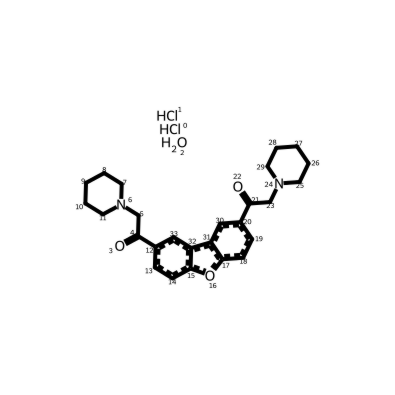 Cl.Cl.O.O=C(CN1CCCCC1)c1ccc2oc3ccc(C(=O)CN4CCCCC4)cc3c2c1